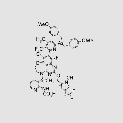 COc1ccc(C[As](Cc2ccc(OC)cc2)c2cc(C)c(C(F)(F)F)c(-c3c(Cl)c4c5c(nc(OC[C@@H]6C[C@@]7(CN6C)CC7(F)F)nc5c3F)N([C@H](C)c3cccnc3NC(=O)O)CCO4)n2)cc1